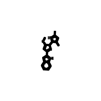 COC1=CC(c2cc3ccccc3[nH]2)=NC1c1[nH]c(C)cc1C